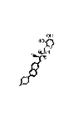 CN1CCN(c2ccc3cc(/C=C(\C#N)S(=O)(=O)NC[C@H]4OCC[C@@H](O)[C@@H]4O)ccc3c2)CC1